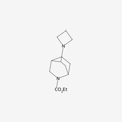 CCOC(=O)N1CC2CCC1CC2N1C[CH]C1